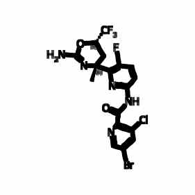 C[C@]1(c2nc(NC(=O)c3ncc(Br)cc3Cl)ccc2F)C[C@@H](C(F)(F)F)OC(N)=N1